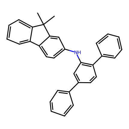 CC1(C)c2ccccc2-c2ccc(Nc3cc(-c4ccccc4)ccc3-c3ccccc3)cc21